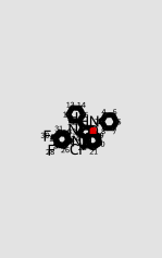 O=C(NC1CCCCC1)C(C1CCCCC1)C1(c2ccccc2Cl)Nc2cc(F)c(F)cc2N1